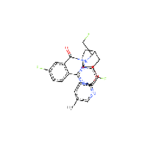 Cc1ccc(OC2CC3CCC2N(C(=O)c2cc(F)ccc2-c2ncc(F)cn2)C3CF)nc1